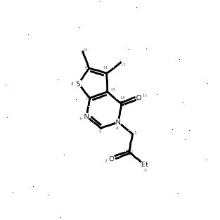 CCC(=O)Cn1cnc2sc(C)c(C)c2c1=O